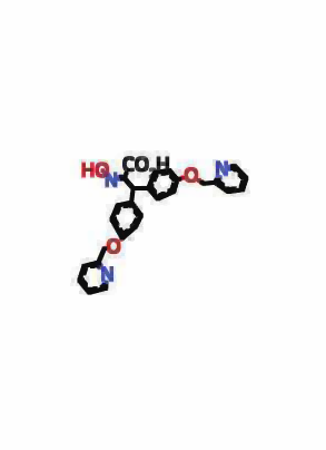 O=C(O)/C(=N\O)C(c1ccc(OCc2ccccn2)cc1)c1ccc(OCc2ccccn2)cc1